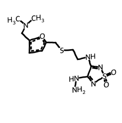 CN(C)Cc1ccc(CSCCNC2=NS(=O)(=O)N=C2NN)o1